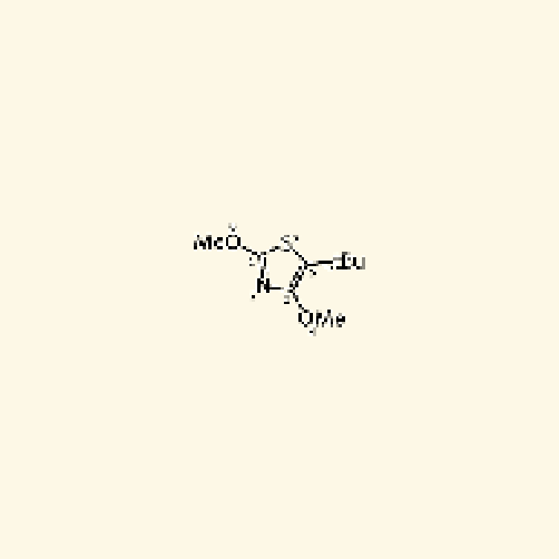 COc1nc(OC)c(C(C)(C)C)s1